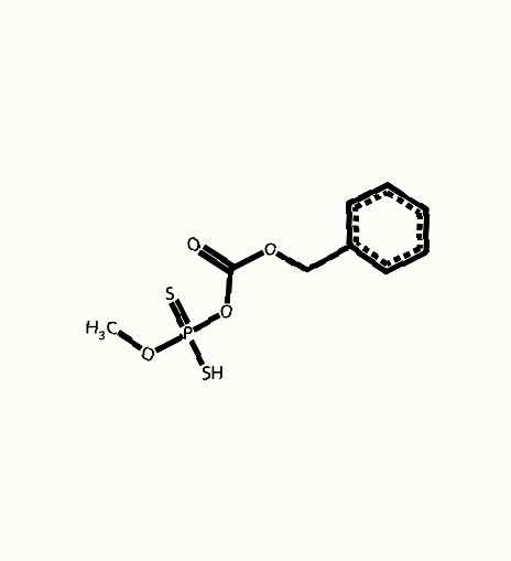 COP(=S)(S)OC(=O)OCc1ccccc1